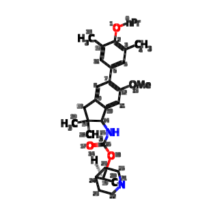 CCCOc1c(C)cc(-c2cc3c(cc2OC)C(NC(=O)O[C@H]2CN4CCC2CC4)C(C)(C)C3)cc1C